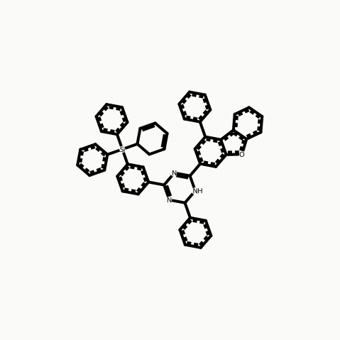 C1=CCC([Si](c2ccccc2)(c2ccccc2)c2cccc(C3=NC(c4ccccc4)NC(c4cc(-c5ccccc5)c5c(c4)oc4ccccc45)=N3)c2)C=C1